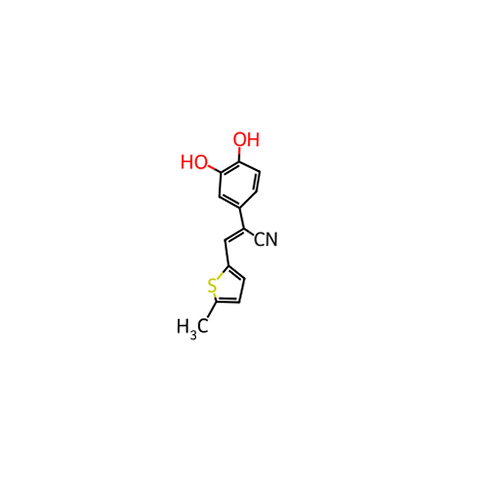 Cc1ccc(/C=C(\C#N)c2ccc(O)c(O)c2)s1